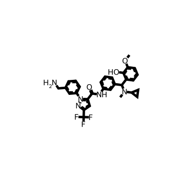 COc1cccc(C(c2cccc(NC(=O)c3cc(C(F)(F)F)nn3-c3cccc(CN)c3)c2)N(C)C2CC2)c1O